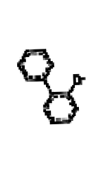 Brc1ccccc1-c1cc[c]cc1